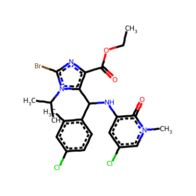 CCOC(=O)c1nc(Br)n(C(C)C)c1C(Nc1cc(Cl)cn(C)c1=O)c1ccc(Cl)cc1C